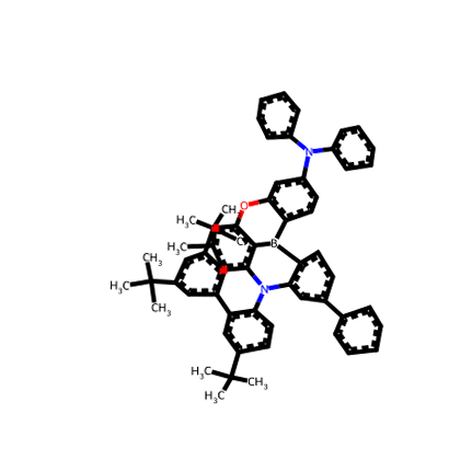 Cc1cc2c3c(c1)N(c1ccc(C(C)(C)C)cc1-c1cc(C(C)(C)C)cc(C(C)(C)C)c1)c1cc(-c4ccccc4)ccc1B3c1ccc(N(c3ccccc3)c3ccccc3)cc1O2